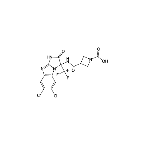 O=C(NC1(C(F)(F)F)C(=O)Nc2nc3cc(Cl)c(Cl)cc3n21)C1CN(C(=O)O)C1